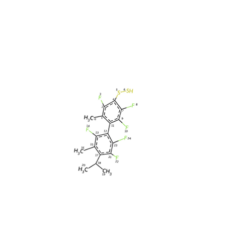 Cc1c(F)c(SS)c(F)c(F)c1-c1c(F)c(C)c(C(C)C)c(F)c1F